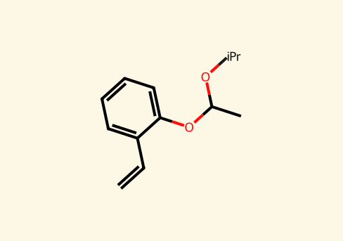 C=Cc1ccccc1OC(C)OC(C)C